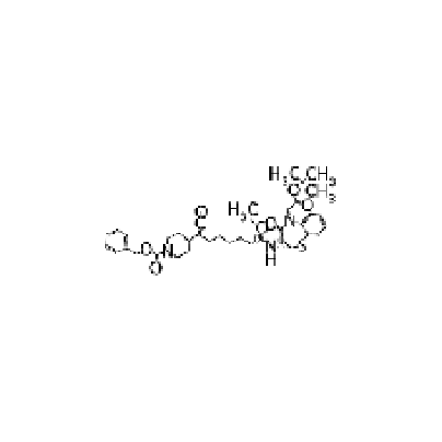 CCO[C@@H](CCCCCC(=C=O)C1CCN(C(=O)OCc2ccccc2)CC1)N[C@H]1CSc2ccccc2N(CC(=O)OC(C)(C)C)C1=O